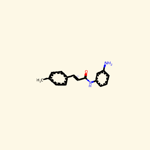 Cc1ccc(/C=C/C(=O)Nc2cccc(N)c2)cc1